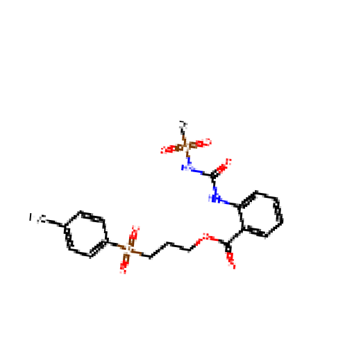 CCS(=O)(=O)NC(=O)Nc1ccccc1C(=O)OCCCS(=O)(=O)c1ccc(C)cc1